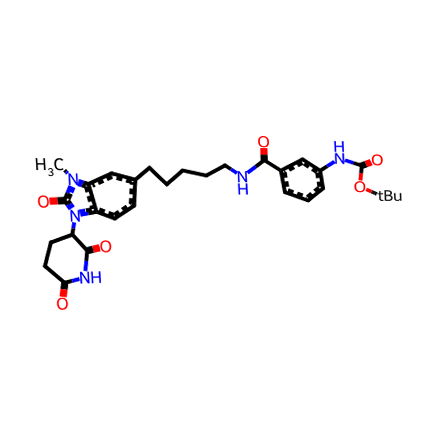 Cn1c(=O)n(C2CCC(=O)NC2=O)c2ccc(CCCCCNC(=O)c3cccc(NC(=O)OC(C)(C)C)c3)cc21